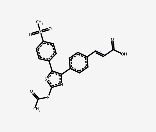 CC(=O)Nc1nc(-c2ccc(/C=C/C(=O)O)cc2)c(-c2ccc(S(C)(=O)=O)cc2)s1